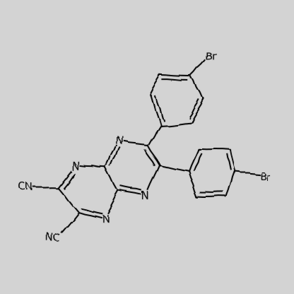 [C-]#[N+]c1nc2nc(-c3ccc(Br)cc3)c(-c3ccc(Br)cc3)nc2nc1C#N